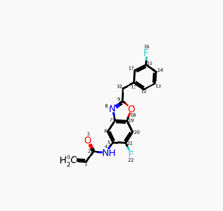 C=CC(=O)Nc1cc2nc(Cc3cccc(F)c3)oc2cc1F